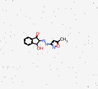 Cc1cc(N=NC2C(=O)c3ccccc3C2O)no1